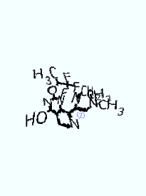 C=N/C(=C\N(C)C)c1nccc2c(O)nc(OC(C)C(F)(F)F)nc12